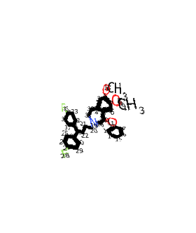 COc1cc2c(cc1OC)C(Oc1ccccc1)CN(CCCC(c1ccc(F)cc1)c1ccc(F)cc1)CC2